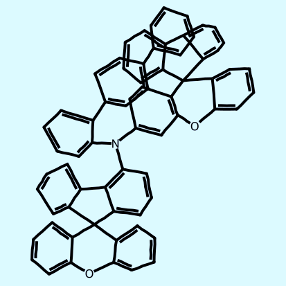 c1ccc(-c2ccc(-c3ccccc3N(c3ccc4c(c3)Oc3ccccc3C43c4ccccc4-c4ccccc43)c3cccc4c3-c3ccccc3C43c4ccccc4Oc4ccccc43)cc2)cc1